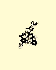 C=CC(=O)N1CCN(c2nc(=O)n(-c3c(C)cc(P(C)(C)=O)cc3C(C)C)c3nc(-c4c(O)cccc4F)c(F)cc23)[C@@H](C)C1